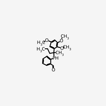 CCCC(C)(Pc1ccccc1C=O)c1cc(OC)cc(OC)c1OC